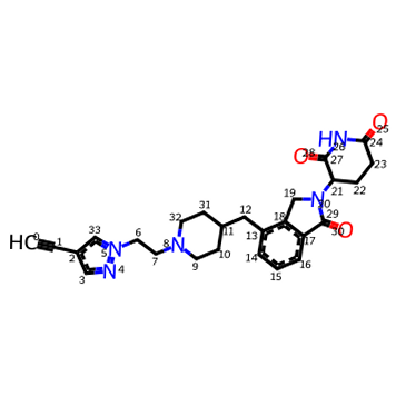 C#Cc1cnn(CCN2CCC(Cc3cccc4c3CN(C3CCC(=O)NC3=O)C4=O)CC2)c1